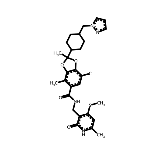 CSc1cc(C)[nH]c(=O)c1CNC(=O)c1cc(Cl)c2c(c1C)OC(C)(C1CCC(Cn3cccn3)CC1)O2